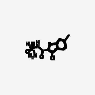 Cc1ccc2c(Cl)c(C(=O)NP(N)(N)=O)sc2c1